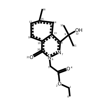 CCOC(=O)Cn1nc(C(C)(C)O)c2cc(C)ccc2c1=O